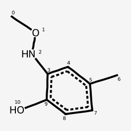 CONc1cc(C)ccc1O